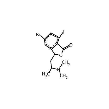 CC(CC1OC(=O)c2c(I)cc(Br)cc21)N(C)C